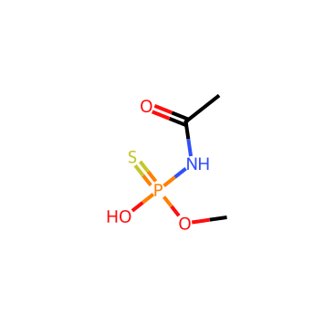 COP(O)(=S)NC(C)=O